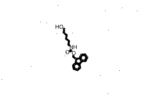 O=C(NCCCCCCO)OCC1c2ccccc2-c2ccccc21